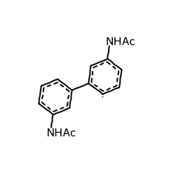 CC(=O)Nc1cc[c]c(-c2cccc(NC(C)=O)c2)c1